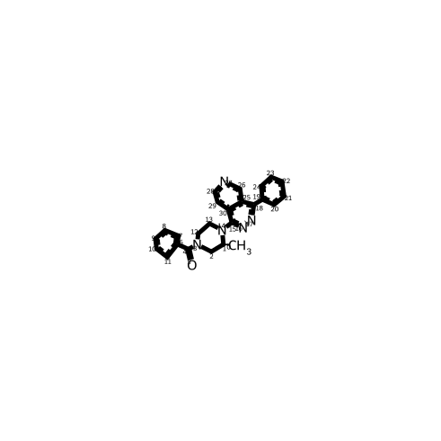 C[C@@H]1CN(C(=O)c2ccccc2)CCN1c1nnc(-c2ccccc2)c2cnccc12